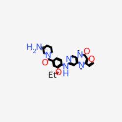 CCOc1cc(C(=O)N2CCC[C@H](N)C2)ccc1Nc1cc2c(cn1)N(C)C(=O)c1occc1N2C